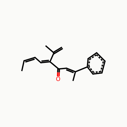 C=C(C)/C(=C\C=C/C)C(=O)/C=C(\C)c1ccccc1